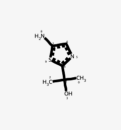 CC(C)(O)c1ncc(N)s1